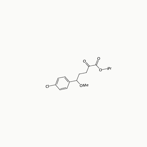 COC(CCC(=O)C(=O)OC(C)C)c1ccc(Cl)cc1